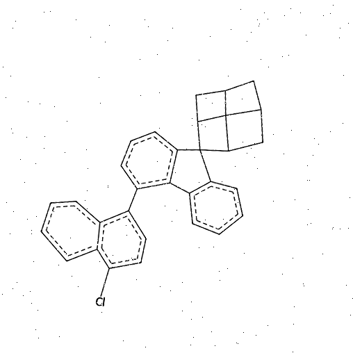 Clc1ccc(-c2cccc3c2-c2ccccc2C32C3CC4CC5CC2C453)c2ccccc12